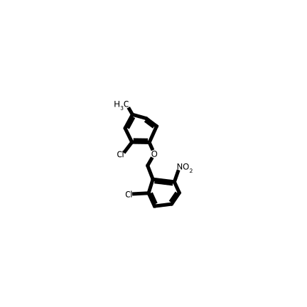 Cc1ccc(OCc2c(Cl)cccc2[N+](=O)[O-])c(Cl)c1